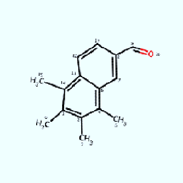 Cc1c(C)c(C)c2cc(C=O)ccc2c1C